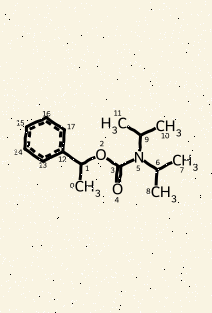 CC(OC(=O)N(C(C)C)C(C)C)c1ccccc1